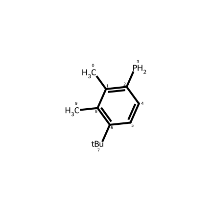 Cc1c(P)ccc(C(C)(C)C)c1C